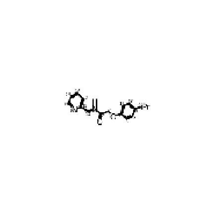 CC(C)c1ccc(OCC(=O)NCc2ccccn2)cc1